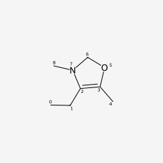 CCC1=C(C)OCN1C